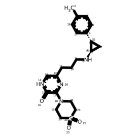 Cc1ccc([C@@H]2C[C@H]2NCCCc2c[nH]c(=O)c(N3CCS(=O)(=O)CC3)n2)cc1